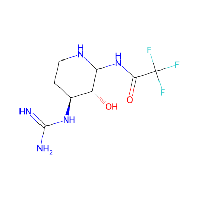 N=C(N)N[C@H]1CCNC(NC(=O)C(F)(F)F)[C@@H]1O